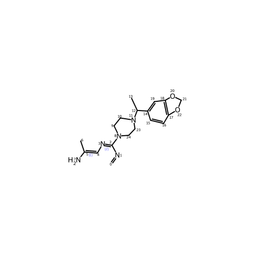 C=N/C(=N\C=C(/C)N)N1CCN(C(C)c2ccc3c(c2)OCO3)CC1